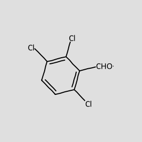 O=[C]c1c(Cl)ccc(Cl)c1Cl